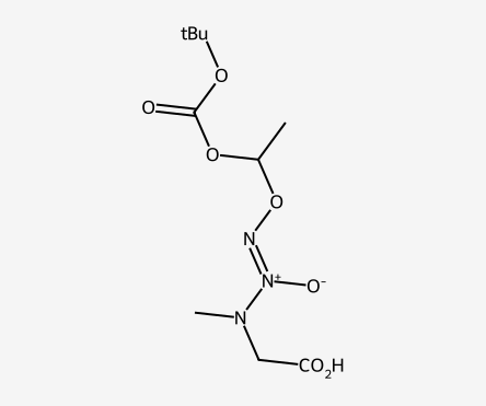 CC(ON=[N+]([O-])N(C)CC(=O)O)OC(=O)OC(C)(C)C